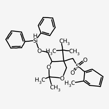 Cc1ccccc1S(=O)(=O)CC1(C(C)(C)C)COC(C)(C)OC1CO[SiH](c1ccccc1)c1ccccc1